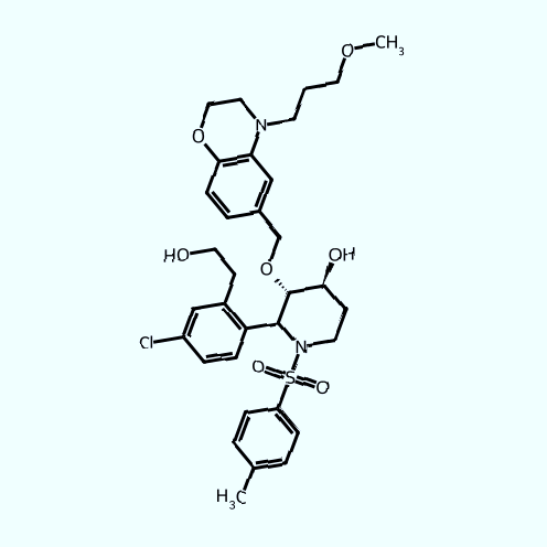 COCCCN1CCOc2ccc(CO[C@H]3C(c4ccc(Cl)cc4CCO)N(S(=O)(=O)c4ccc(C)cc4)CC[C@@H]3O)cc21